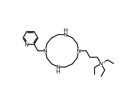 CC[N+](CC)(CC)CCCN1CCCNCCN(Cc2ccccn2)CCCNCC1